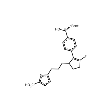 CCCCC[C@H](O)c1ccc(C2=C(F)CCC2CCCc2ccc(C(=O)O)s2)cc1